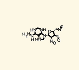 NNC1NCNC2=C1NCN2[C@@H]1O[C@H](CN=O)C(N=O)[C@@H]1N=O